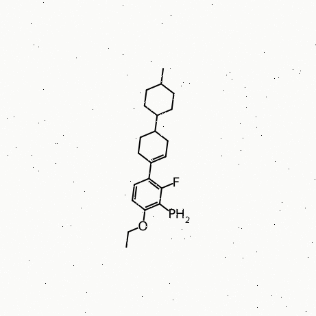 CCOc1ccc(C2=CCC(C3CCC(C)CC3)CC2)c(F)c1P